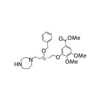 COC(=O)c1cc(OC)c(OC)c(OCC[C@H](CCN2CCCNCC2)OCc2ccccc2)c1